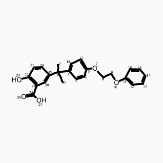 CC(C)(c1ccc(OCCOc2ccccc2)cc1)c1ccc(O)c(C(=O)O)c1